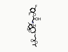 CC(C)OC(=O)CCC[C@H]1CC[C@@H]2[C@@H](/C=C/[C@@H](O)COc3cc(F)ccc3F)[C@H](C)C[C@@H]2OC1